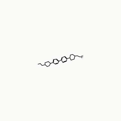 CCCC1CCC(c2ccc(-c3ccc(C4CCC(CCF)CC4)cc3)cc2)CC1